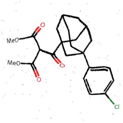 COC(=O)C(C(=O)OC)C(=O)C12CC3CC(C1)CC(c1ccc(Cl)cc1)(C3)C2